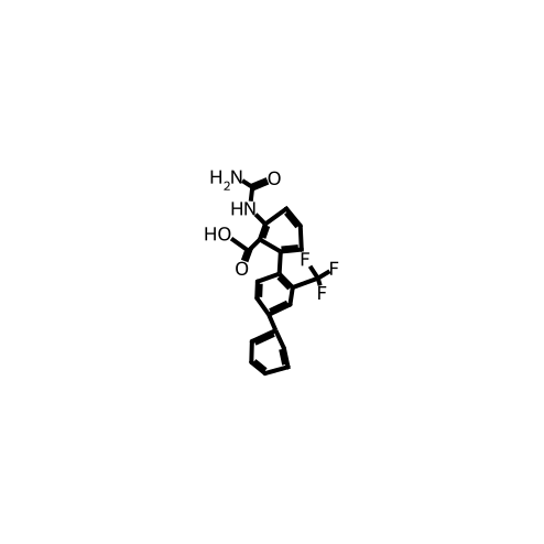 NC(=O)Nc1cccc(-c2ccc(-c3ccccc3)cc2C(F)(F)F)c1C(=O)O